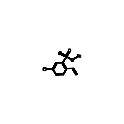 C=Cc1ccc(Cl)cc1S(=O)(=O)OCC